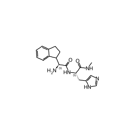 CNC(=O)[C@H](Cc1cnc[nH]1)NC(=O)[C@@H](N)C1CCc2ccccc21